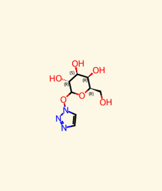 OC[C@H]1OC(On2ccnn2)[C@H](O)[C@@H](O)[C@H]1O